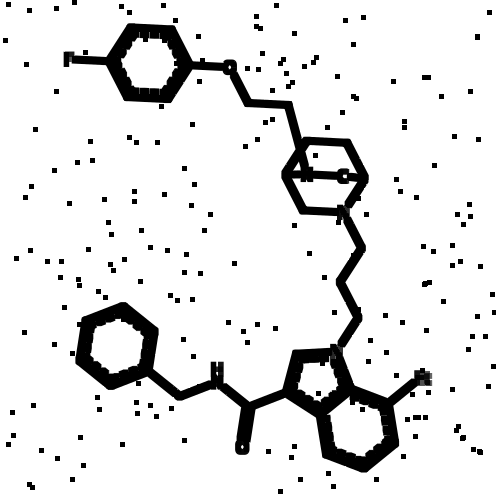 CCc1cccc2c(C(=O)NCc3ccccc3)cn(CCCN3CC4CCC3CN4CCOc3ccc(F)cc3)c12